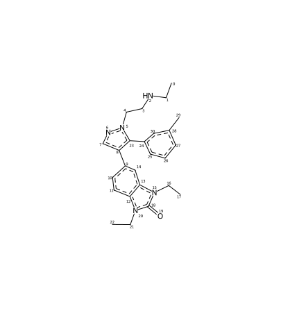 CCNCCn1ncc(-c2ccc3c(c2)n(CC)c(=O)n3CC)c1-c1cccc(C)c1